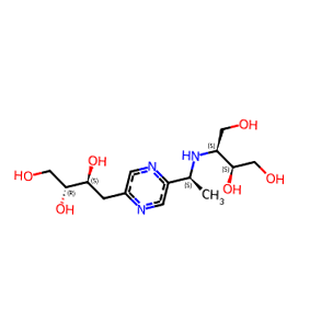 C[C@H](N[C@@H](CO)[C@H](O)CO)c1cnc(C[C@H](O)[C@H](O)CO)cn1